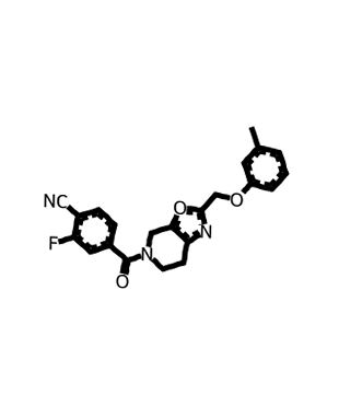 Cc1cccc(OCc2nc3c(o2)CN(C(=O)c2ccc(C#N)c(F)c2)CC3)c1